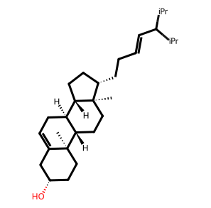 CC(C)C(/C=C/CC[C@H]1CC[C@H]2[C@@H]3CC=C4C[C@@H](O)CC[C@]4(C)[C@H]3CC[C@]12C)C(C)C